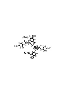 COCc1cc(C(CNC(C)Cc2ccc(O)cc2)OC(=O)C(=O)OC(CNC(C)Cc2ccc(O)cc2)c2ccc(O)c(COC)c2)ccc1O